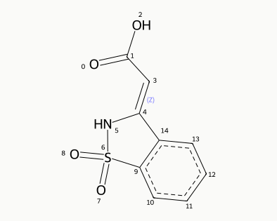 O=C(O)/C=C1\NS(=O)(=O)c2ccccc21